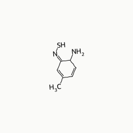 CC1=C/C(=N/S)C(N)C=C1